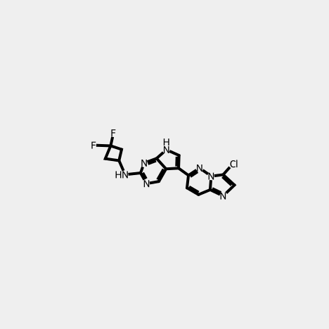 FC1(F)CC(Nc2ncc3c(-c4ccc5ncc(Cl)n5n4)c[nH]c3n2)C1